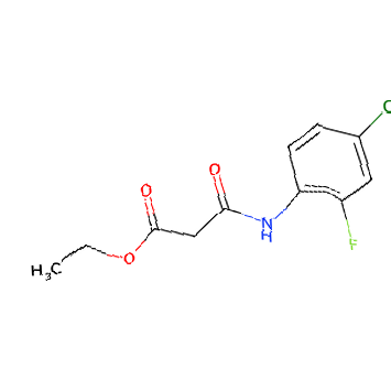 CCOC(=O)CC(=O)Nc1ccc(Cl)cc1F